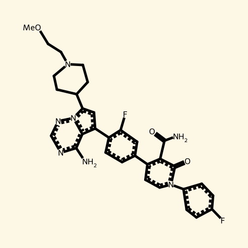 COCCN1CCC(c2cc(-c3ccc(-c4ccn(-c5ccc(F)cc5)c(=O)c4C(N)=O)cc3F)c3c(N)ncnn23)CC1